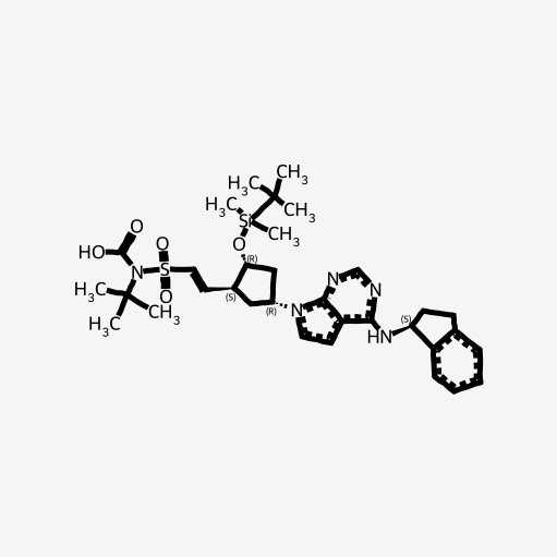 CC(C)(C)N(C(=O)O)S(=O)(=O)C=C[C@@H]1C[C@@H](n2ccc3c(N[C@H]4CCc5ccccc54)ncnc32)C[C@H]1O[Si](C)(C)C(C)(C)C